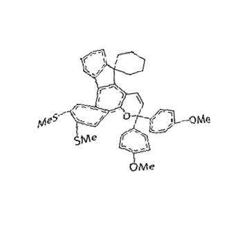 COc1ccc(C2(c3ccc(OC)cc3)C=Cc3c4c(c5cc(SC)c(SC)cc5c3O2)-c2ccccc2C42CCCCC2)cc1